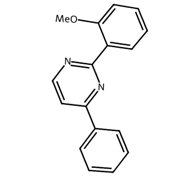 COc1ccccc1-c1nccc(-c2ccccc2)n1